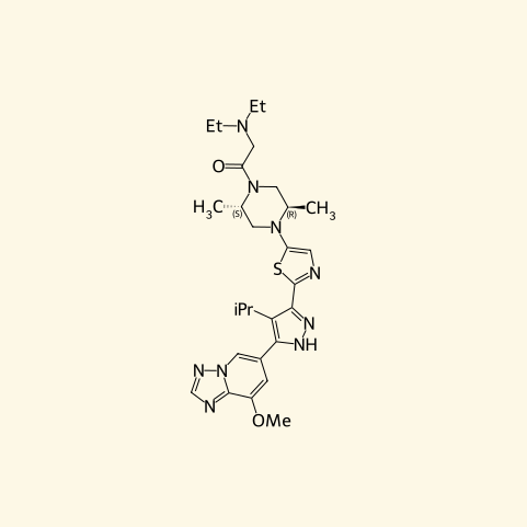 CCN(CC)CC(=O)N1C[C@@H](C)N(c2cnc(-c3n[nH]c(-c4cc(OC)c5ncnn5c4)c3C(C)C)s2)C[C@@H]1C